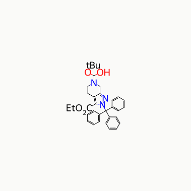 CCOC(=O)c1c2c(nn1C(c1ccccc1)(c1ccccc1)c1ccccc1)CN(C(O)OC(C)(C)C)CC2